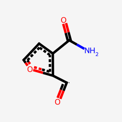 NC(=O)c1ccoc1[C]=O